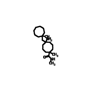 BC1(CC2(C)CCCCCCC2)CCCC(C)(C(=O)NC)CCC1